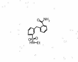 CCNS(=O)(=O)c1cccc(Cc2ccccc2C(N)=O)c1